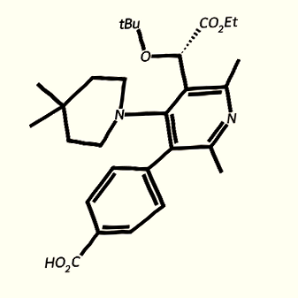 CCOC(=O)[C@@H](OC(C)(C)C)c1c(C)nc(C)c(-c2ccc(C(=O)O)cc2)c1N1CCC(C)(C)CC1